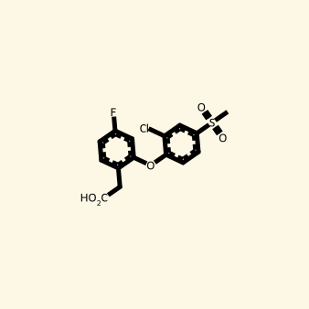 CS(=O)(=O)c1ccc(Oc2cc(F)ccc2CC(=O)O)c(Cl)c1